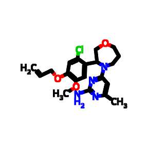 C=CCOc1cc(Cl)c(C2COCCCN2c2cc(C)nc(N)n2)cc1OC